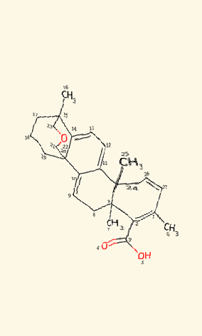 CC1=C(C(=O)O)C2(C)CC=C3C(=CC=C4C5(C)CCCC34COC5)C2(C)C=C1